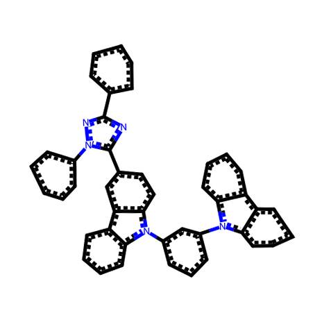 c1ccc(-c2nc(-c3ccc4c(c3)c3ccccc3n4-c3cccc(-n4c5ccccc5c5ccccc54)c3)n(-c3ccccc3)n2)cc1